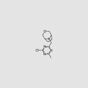 Cc1nc(Cl)nc(CN2C3CCC2COC3)n1